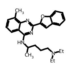 CCN(CC)CCCC(C)Nc1nc(-c2cc3ccccc3o2)nc2c(C)cccc12